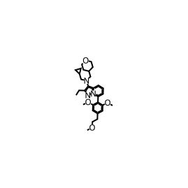 CCc1nn2c(-c3c(OC)cc(CCOC)cc3OC)cccc2c1N(CC1CCOCC1)CC1CC1